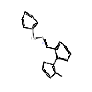 CC1=C(c2ccccc2/C=N/Nc2ccccc2)CC=C1